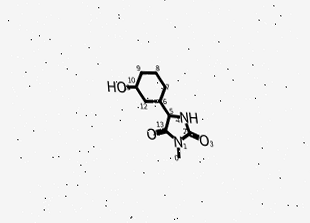 CN1C(=O)NC(C2CCCC(O)C2)C1=O